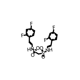 O=S(=O)(CS(=O)(=O)N/C=C/c1ccc(F)cc1F)N/C=C/c1ccc(F)cc1F